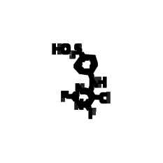 O=S(=O)(O)c1ccc(Nc2nc(F)nc(F)c2Cl)cc1